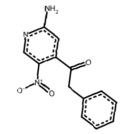 Nc1cc(C(=O)Cc2ccccc2)c([N+](=O)[O-])cn1